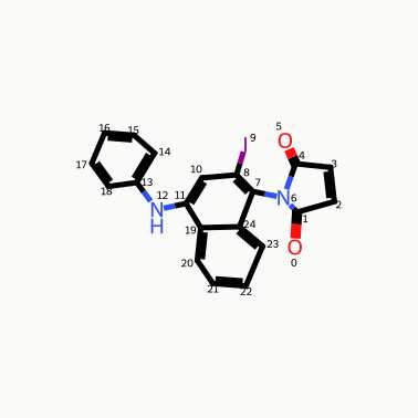 O=C1C=CC(=O)N1c1c(I)cc(Nc2ccccc2)c2ccccc12